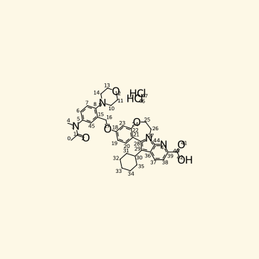 CC(=O)N(C)c1ccc(N2CCOCC2)c(COc2ccc3c(c2)OCCn2c-3c(C3CCCCC3)c3ccc(C(=O)O)nc32)c1.Cl.Cl